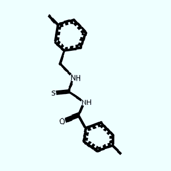 Cc1ccc(C(=O)NC(=S)NCc2cccc(C)c2)cc1